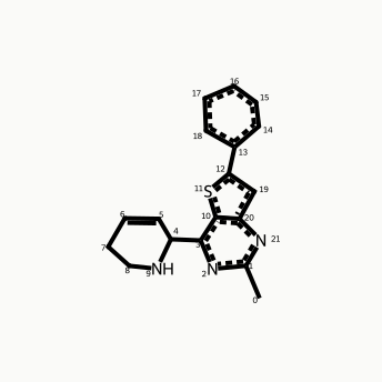 Cc1nc(C2C=CCCN2)c2sc(-c3ccccc3)cc2n1